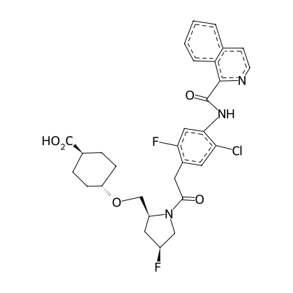 O=C(Nc1cc(F)c(CC(=O)N2C[C@@H](F)C[C@H]2CO[C@H]2CC[C@H](C(=O)O)CC2)cc1Cl)c1nccc2ccccc12